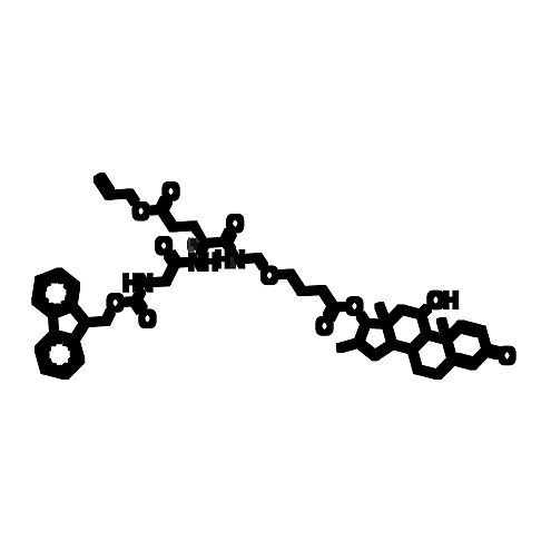 C=CCOC(=O)CC[C@H](NC(=O)CNC(=O)OCC1c2ccccc2-c2ccccc21)C(=O)NCOCCCC(=O)OC1C(C)CC2C3CCC4=CC(=O)C=CC4(C)C3C(O)CC21C